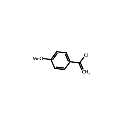 C=C(Cl)c1ccc(OC)cc1